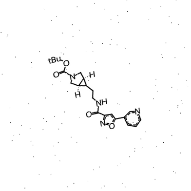 CC(C)(C)OC(=O)N1C[C@@H]2C(CCNC(=O)c3cc(-c4cccnc4)on3)[C@@H]2C1